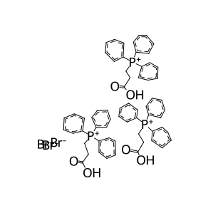 O=C(O)CC[P+](c1ccccc1)(c1ccccc1)c1ccccc1.O=C(O)CC[P+](c1ccccc1)(c1ccccc1)c1ccccc1.O=C(O)CC[P+](c1ccccc1)(c1ccccc1)c1ccccc1.[Br-].[Br-].[Br-]